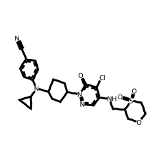 N#Cc1ccc(N(C2CC2)C2CCC(n3ncc(NCC4COCCS4(=O)=O)c(Cl)c3=O)CC2)cc1